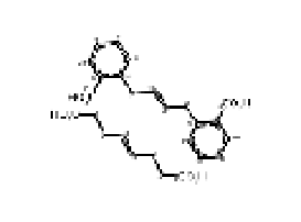 O=C(O)CCC=CCCC(=O)O.O=C(O)c1ccccc1CC=CCc1ccccc1C(=O)O